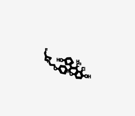 CC1=C(c2cccc(O)c2)[C@@H](c2ccc(OCCN3CC(CF)C3)cc2)Oc2ccc(O)c(Cl)c21